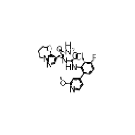 COc1cc(-c2ccc(F)c(Cl)c2NC(=O)N=[S@@](N)(=O)c2cnn3c2OCCC3)ccn1